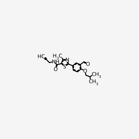 C#CCNC(=O)c1sc(-c2ccc(OCC(C)C)c(C=O)c2)nc1C